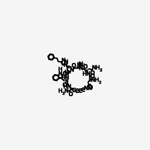 CCC(C)[C@@H]1NC(=O)[C@H](CC(N)=O)NC(=O)[C@@H](N)CC(=O)NCCCC[C@@H](C(N)=O)NC(=O)[C@H](Cc2c[nH]c3ccccc23)NC(=O)[C@@H]2C[C@H](n3cc(CCc4ccccc4)nn3)CN2C1=O